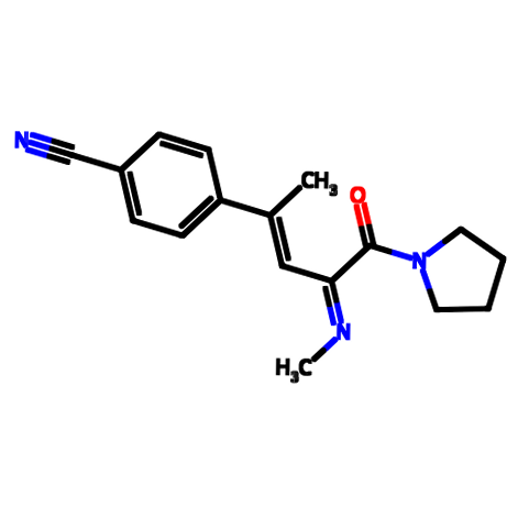 C/N=C(\C=C(/C)c1ccc(C#N)cc1)C(=O)N1CCCC1